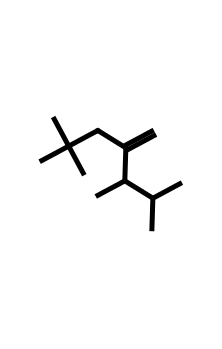 C=C(CC(C)(C)C)C(C)C(C)C